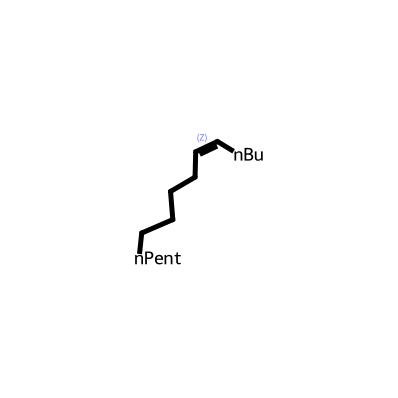 [CH2]CCCCCCCC/C=C\CCCC